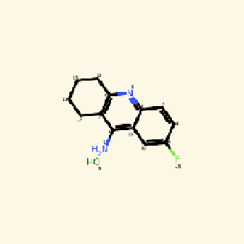 Cl.Nc1c2c(nc3ccc(F)cc13)CCCC2